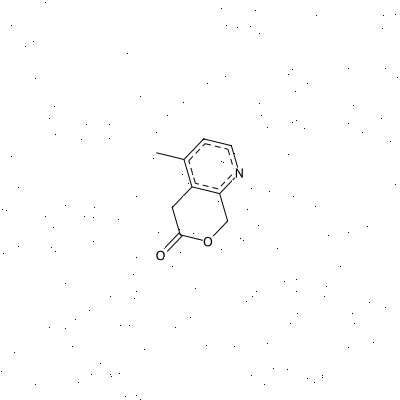 Cc1ccnc2c1CC(=O)OC2